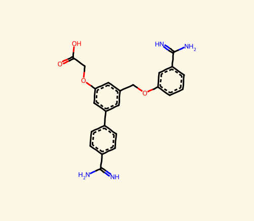 N=C(N)c1ccc(-c2cc(COc3cccc(C(=N)N)c3)cc(OCC(=O)O)c2)cc1